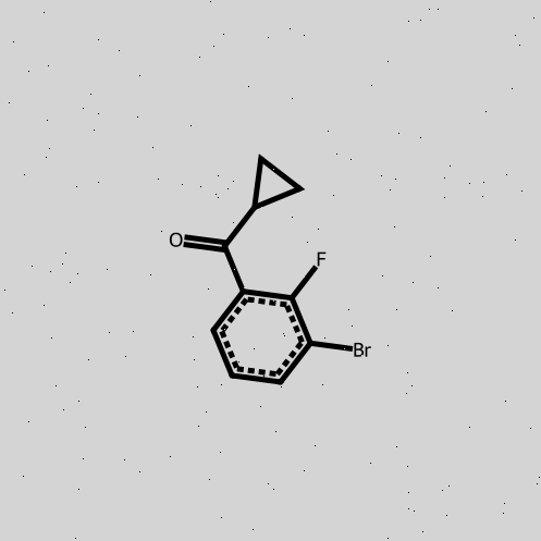 O=C(c1cccc(Br)c1F)C1CC1